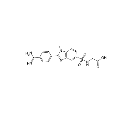 Cn1c(-c2ccc(C(=N)N)cc2)nc2cc(S(=O)(=O)NCC(=O)O)ccc21